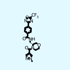 Cn1cc(C(=O)N2CCOC[C@H]2CNC(=O)c2ccc(-c3noc(C(F)(F)F)n3)cc2)cn1